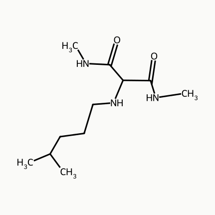 CNC(=O)C(NCCCC(C)C)C(=O)NC